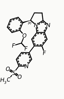 CS(=O)(=O)c1ccc(-c2cc3c(cc2F)nc2n3[C@@H](c3ccccc3OC(F)F)CC2)cn1